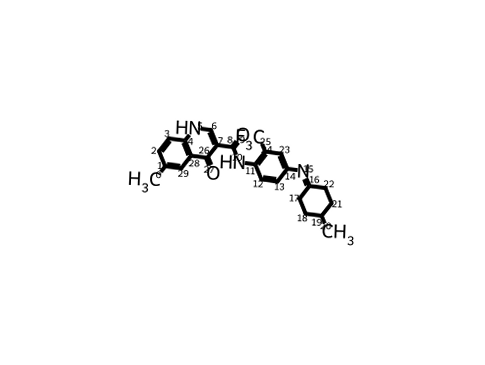 Cc1ccc2[nH]cc(C(=O)Nc3ccc(N=C4CCC(C)CC4)cc3C(F)(F)F)c(=O)c2c1